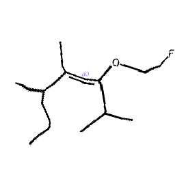 CCC(C)/C(C)=C(/OCF)C(C)C